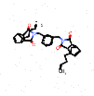 C=CCCC1C2C=CC1C1C(=O)N(Cc3cccc(CN4C(=O)C5C6C=CC(CCC=C)(C6)C5C4=O)c3)C(=O)C21